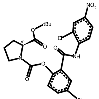 CC(C)(C)OC(=O)[C@@H]1CCCN1C(=O)Oc1ccc(Cl)cc1C(=O)Nc1ccc([N+](=O)[O-])cc1Cl